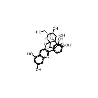 O=C1CC(=O)[C@@]2(O)[C@@H](O)[C@H](O)[C@@H](CO)OC12Oc1cc2c(O)cc(O)cc2[o+]c1-c1ccc(O)c(O)c1